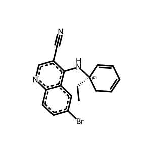 CC[C@]1(Nc2c(C#N)cnc3ccc(Br)cc23)C=CC=CC1